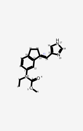 CCN(C(=O)OC)c1ccc2c(c1)/C(=C/c1c[nH]cn1)CC2